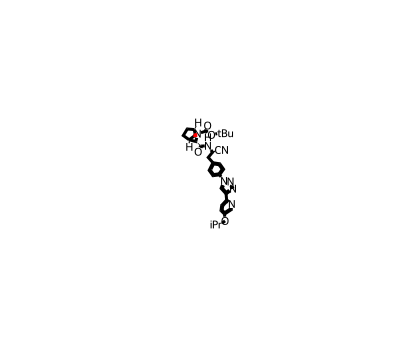 CC(C)Oc1ccc(-c2cn(-c3ccc(C[C@@H](C#N)NC(=O)[C@@H]4[C@H]5CC[C@H](C5)N4C(=O)OC(C)(C)C)cc3)nn2)nc1